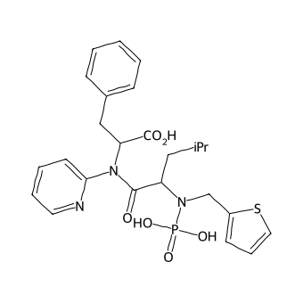 CC(C)CC(C(=O)N(c1ccccn1)C(Cc1ccccc1)C(=O)O)N(Cc1cccs1)P(=O)(O)O